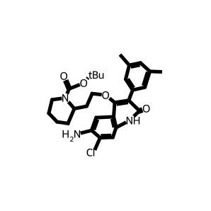 Cc1cc(C)cc(-c2c(OCCC3CCCCN3C(=O)OC(C)(C)C)c3cc(N)c(Cl)cc3[nH]c2=O)c1